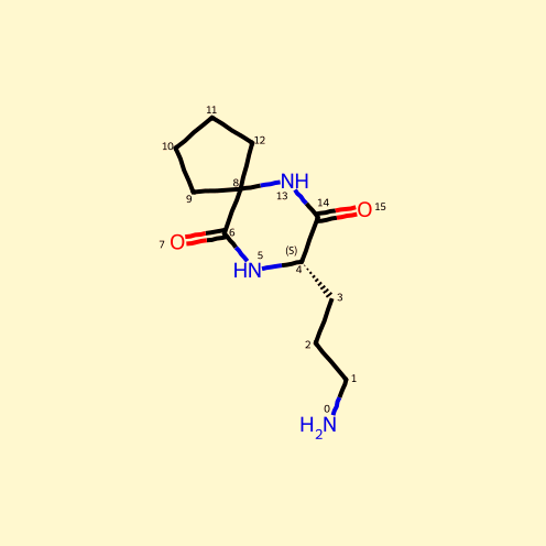 NCCC[C@@H]1NC(=O)C2(CCCC2)NC1=O